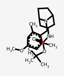 COc1cc(C)c(CN2C3CCC2CC(NC(=O)OC(C)(C)C)C3)c(C)c1